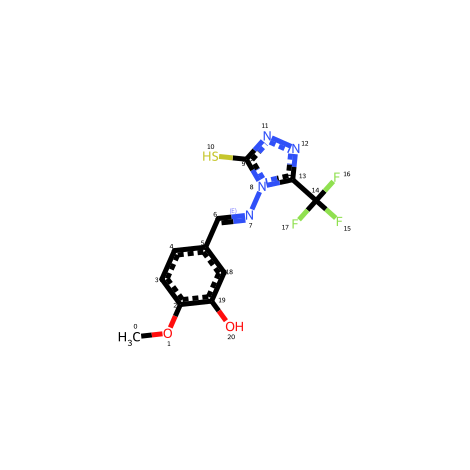 COc1ccc(/C=N/n2c(S)nnc2C(F)(F)F)cc1O